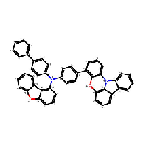 c1ccc(-c2ccc(N(c3ccc(-c4cccc5c4Oc4cccc6c7ccccc7n-5c46)cc3)c3cccc4oc5ccccc5c34)cc2)cc1